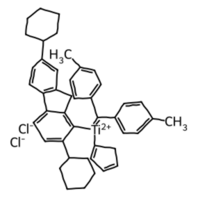 Cc1ccc([C](c2ccc(C)cc2)=[Ti+2]([C]2=CC=CC2)[c]2c(C3CCCCC3)ccc3c2Cc2cc(C4CCCCC4)ccc2-3)cc1.[Cl-].[Cl-]